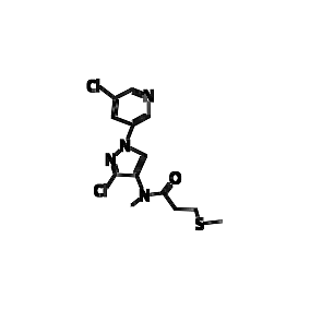 CSCCC(=O)N(C)c1cn(-c2cncc(Cl)c2)nc1Cl